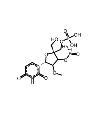 COC1C(O[PH](=O)S)[C@@](CO)(COP(=O)(O)O)O[C@H]1n1ccc(=O)[nH]c1=O